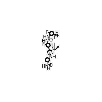 C#CCNc1nc(Nc2cccc([SH](=N)=O)c2)ncc1-c1ccc(NC(=O)Nc2cc(C(F)(F)F)ccc2F)c(F)c1